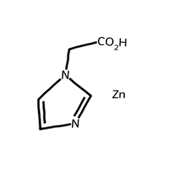 O=C(O)Cn1ccnc1.[Zn]